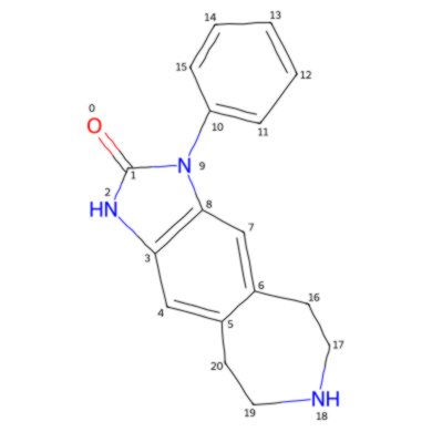 O=c1[nH]c2cc3c(cc2n1-c1ccccc1)CCNCC3